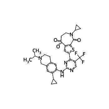 CC(C)N1CCc2cc(Nc3ncc(C(F)(F)F)c(-c4cc5c(s4)C(=O)N(C4CC4)CCS5(=O)=O)n3)c(C3CC3)cc2C1